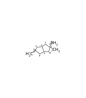 BC1(C)CC2CC(=C)CC2C1